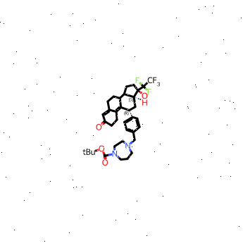 CC(C)(C)OC(=O)N1CCCN(Cc2ccc([C@H]3C[C@@]4(C)C(CCC4(O)C(F)(F)C(F)(F)F)C4CCC5=CC(=O)CCC5=C43)cc2)CC1